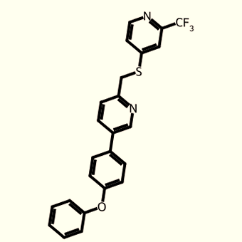 FC(F)(F)c1cc(SCc2ccc(-c3ccc(Oc4ccccc4)cc3)cn2)ccn1